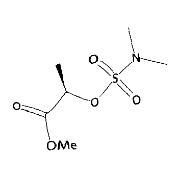 COC(=O)[C@@H](C)OS(=O)(=O)N(C)C